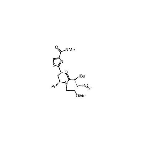 CC[C@H](C)[C@H](N=[N+]=[N-])C(=O)N(CCOC)[C@H](C[CH]c1nc(C(=O)NC)cs1)C(C)C